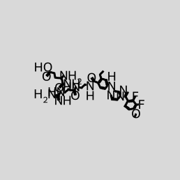 CCc1cc(Nc2nccn3c(-c4ccc(OC)c(F)c4F)cnc23)ccc1C(=O)NCCNC(=O)C(CNC(=N)N)NC(=O)C(N)CCC(=O)O